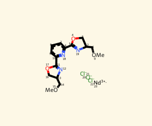 COCC1COC(c2cccc(C3=NC(COC)CO3)n2)=N1.[Cl-].[Cl-].[Cl-].[Nd+3]